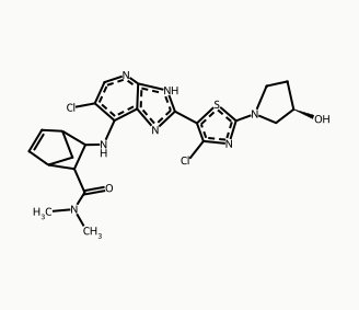 CN(C)C(=O)C1C2C=CC(C2)C1Nc1c(Cl)cnc2[nH]c(-c3sc(N4CC[C@@H](O)C4)nc3Cl)nc12